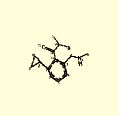 CNCc1cccc(C2CC2)c1C(=O)C(C)C